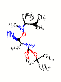 CC(C)C(C)N(C)OC(=N)[C@H](C)NC(=O)OC(C)(C)C